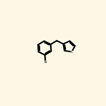 Brc1cccc(Cc2c[c]sc2)c1